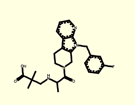 CC(NCC(C)(C)C(=O)O)C(=O)N1CCc2c(n(Cc3cccc(F)c3)c3ncccc23)C1